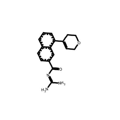 NC(N)=NC(=O)c1ccc2cccc(C3=CCOCC3)c2c1